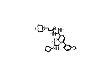 COc1cccc(C2=CCC(C(=N)NC(=O)CCN3CCOCC3)C(=O)N2CC(=O)NC2CCCC2)c1